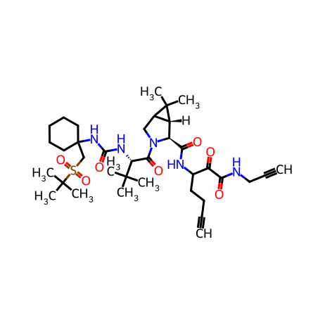 C#CCCC(NC(=O)[C@@H]1[C@@H]2C(CN1C(=O)[C@@H](NC(=O)NC1(CS(=O)(=O)C(C)(C)C)CCCCC1)C(C)(C)C)C2(C)C)C(=O)C(=O)NCC#C